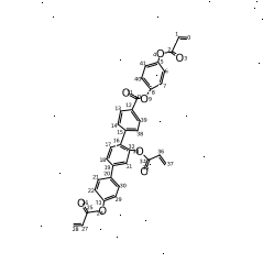 C=CC(=O)Oc1ccc(OC(=O)c2ccc(-c3ccc(-c4ccc(OC(=O)C=C)cc4)cc3OC(=O)C=C)cc2)cc1